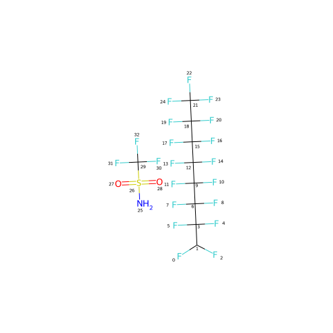 FC(F)C(F)(F)C(F)(F)C(F)(F)C(F)(F)C(F)(F)C(F)(F)C(F)(F)F.NS(=O)(=O)C(F)(F)F